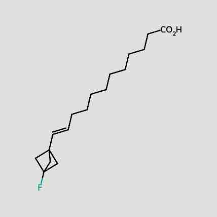 O=C(O)CCCCCCCCCC=CC12CC(F)(C1)C2